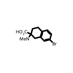 CNC1(C(=O)O)CCc2ccc(Br)cc2C1